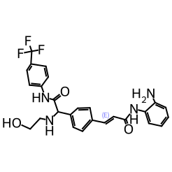 Nc1ccccc1NC(=O)/C=C/c1ccc(C(NCCO)C(=O)Nc2ccc(C(F)(F)F)cc2)cc1